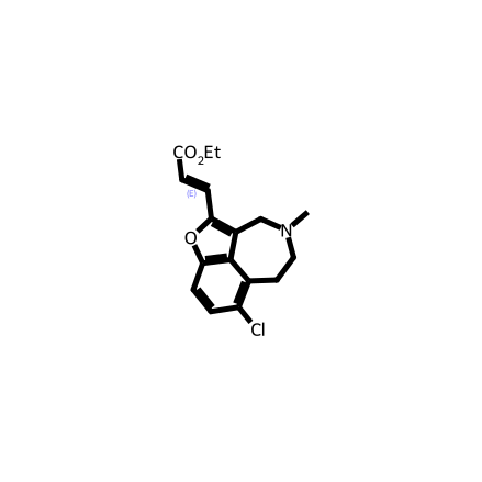 CCOC(=O)/C=C/c1oc2ccc(Cl)c3c2c1CN(C)CC3